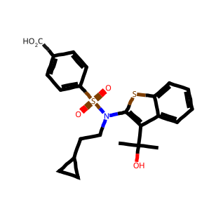 CC(C)(O)c1c(N(CCC2CC2)S(=O)(=O)c2ccc(C(=O)O)cc2)sc2ccccc12